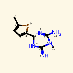 Cc1ccc(CNC(=N)N(C)C(=N)N)s1